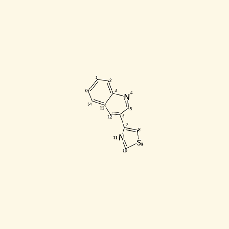 c1ccc2ncc(-c3cscn3)cc2c1